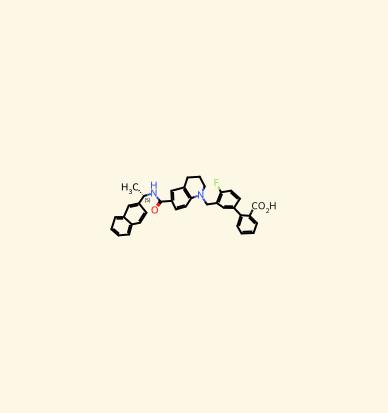 C[C@H](NC(=O)c1ccc2c(c1)CCCN2Cc1cc(-c2ccccc2C(=O)O)ccc1F)c1ccc2ccccc2c1